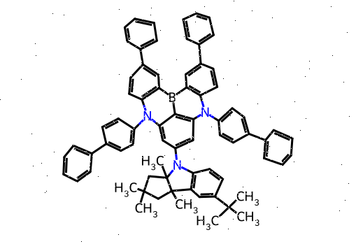 CC1(C)CC2(C)c3cc(C(C)(C)C)ccc3N(c3cc4c5c(c3)N(c3ccc(-c6ccccc6)cc3)c3ccc(-c6ccccc6)cc3B5c3cc(-c5ccccc5)ccc3N4c3ccc(-c4ccccc4)cc3)C2(C)C1